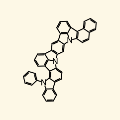 c1ccc(-n2c3ccccc3c3ccc4c(c5cccc6c7cc8c9cccc%10c%11c%12ccccc%12ccc%11n(c8cc7n4c65)c9%10)c32)cc1